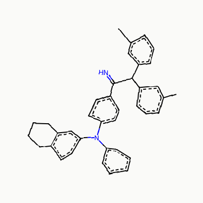 Cc1cccc(C(C(=N)c2ccc(N(c3ccccc3)c3ccc4c(c3)CCCC4)cc2)c2cccc(C)c2)c1